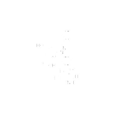 CC(N)C(C)(C)Oc1ccc(N2N=C3c4cc(F)ccc4CCC3CC2=O)cc1.O=C(O)C=CC(=O)O